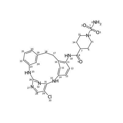 NS(=O)(=O)N1CCC(C(=O)Nc2ccc3cc2CCc2cccc(c2)Nc2ncc(Cl)c(n2)N3)CC1